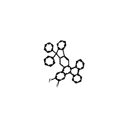 Fc1cc2c3c(c4c5ccccc5c5ccccc5c4c2cc1F)C=C1c2ccccc2C(c2ccccc2)(c2ccccc2)C1C3